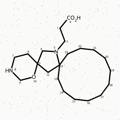 O=C(O)CCN1CC2(CCNCO2)CC12CCCCCCCCCCC2